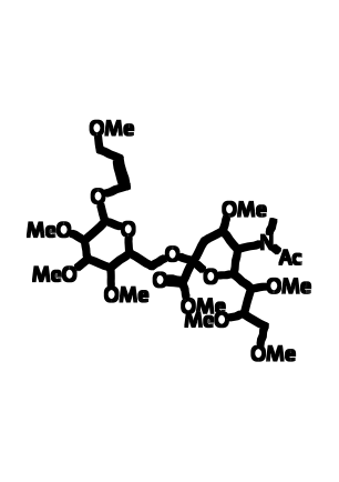 COC/C=C\OC1OC(COC2(C(=O)OC)CC(OC)C(N(C)C(C)=O)C(C(OC)C(COC)OC)O2)C(OC)C(OC)C1OC